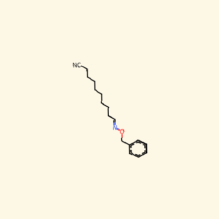 N#CCCCCCCCCC=NOCc1ccccc1